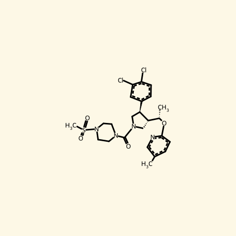 Cc1ccc(O[C@@H](C)[C@@H]2CN(C(=O)N3CCN(S(C)(=O)=O)CC3)C[C@H]2c2ccc(Cl)c(Cl)c2)nc1